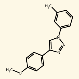 COc1ccc(-c2cn(-c3cccc(C)c3)nn2)cc1